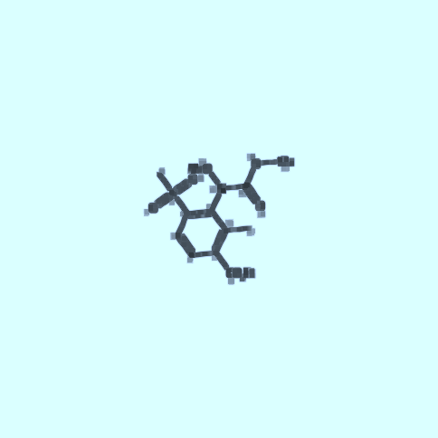 CCOC(=O)c1ccc(S(C)(=O)=O)c(N(OC)C(=O)OC(C)(C)C)c1C